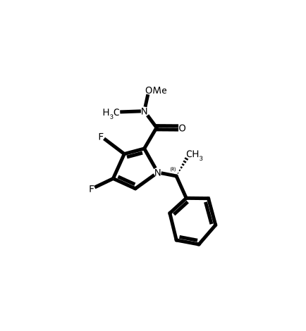 CON(C)C(=O)c1c(F)c(F)cn1[C@H](C)c1ccccc1